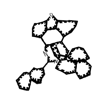 c1ccc(-c2nc(-c3ccc4ccccc4c3)nc(-c3cccc4oc5cccc(-c6ccc7ccc8ccccc8c7c6)c5c34)n2)cc1